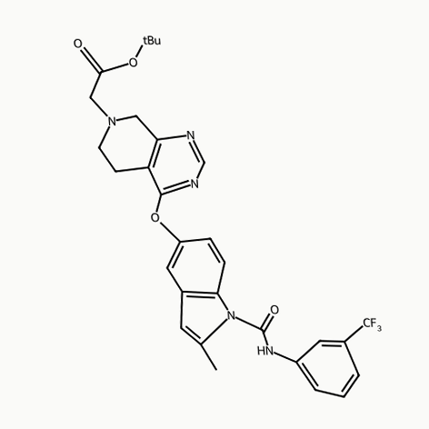 Cc1cc2cc(Oc3ncnc4c3CCN(CC(=O)OC(C)(C)C)C4)ccc2n1C(=O)Nc1cccc(C(F)(F)F)c1